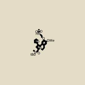 COc1cc2c(cc1OCCNS(C)(=O)=O)-c1c(-c3cccs3)cc(C(=O)N(C)C(C)(C)C)n1CC2